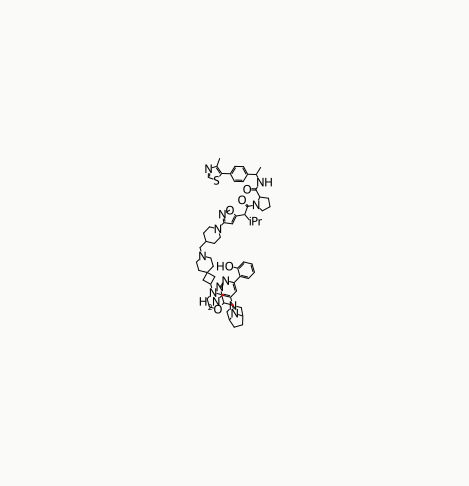 Cc1ncsc1-c1ccc(C(C)NC(=O)C2CCCN2C(=O)C(c2cc(N3CCC(CN4CCC5(CC4)CC(N4CCOC(CN6C7CCC6CN(c6cc(-c8ccccc8O)nnc6N)C7)C4)C5)CC3)no2)C(C)C)cc1